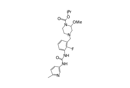 COC1CN(Cc2cccc(NC(=O)Nc3ccc(C)nc3)c2F)CCN1C(=O)OC(C)C